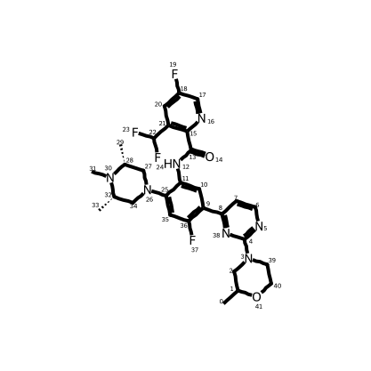 CC1CN(c2nccc(-c3cc(NC(=O)c4ncc(F)cc4C(F)F)c(N4C[C@@H](C)N(C)[C@@H](C)C4)cc3F)n2)CCO1